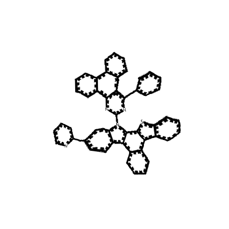 c1ccc(-c2nc(-n3c4cc(-c5ccccn5)ccc4c4c5ccccc5c5c6ccccc6sc5c43)nc3c4ccccc4c4ccccc4c23)cc1